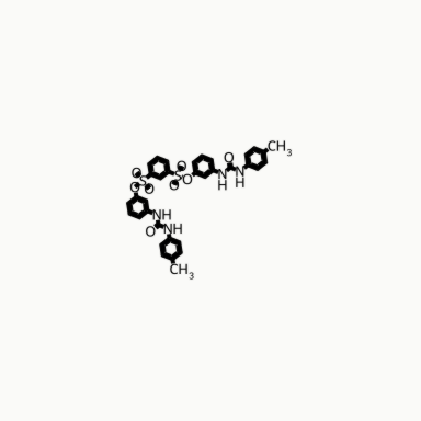 Cc1ccc(NC(=O)Nc2cccc(OS(=O)(=O)c3cccc(S(=O)(=O)Oc4cccc(NC(=O)Nc5ccc(C)cc5)c4)c3)c2)cc1